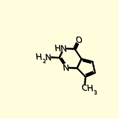 CC1=CC=C2C(=O)NC(N)=NC12